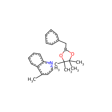 CC1(C)OB(Cc2ccccc2)OC1(C)C.Cc1ccnc2ccccc12